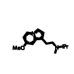 COc1ccn2ccc(CCN(C)C(C)C)c2c1